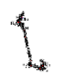 CC[C@@H]1C[C@@H](OC(=O)CCCCC[C@H](NC(=O)CCOCCOCCOCCOCCOCCOCCOCCOCCOCCOCCOCCOCCNC(=O)Cn2cc(C(=O)N3CCN(C(=O)c4c[nH]c(/C(=C\C(=N)c5ccc(F)cc5)C(C)(C)C)n4)C(C)(C)C3)nn2)C(=O)NN)CC[C@]1(C)C1CC[C@]2(C)[C@@H]([C@H](C)CCCC(C)C)CC[C@H]2[C@@H]1C